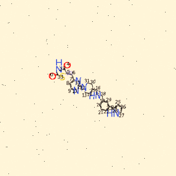 O=C1NC(=O)/C(=C/c2ccnc(N3CCC(CNCc4cccc(-c5ccc[nH]5)c4)CC3)n2)S1